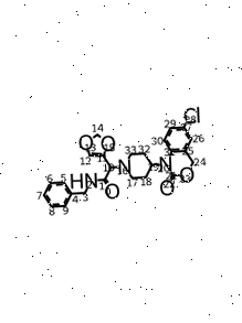 O=C(NCc1ccccc1)C(C1=COCO1)N1CCC(N2C(=O)OCc3cc(Cl)ccc32)CC1